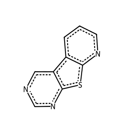 c1cnc2sc3ncncc3c2c1